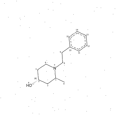 CC1C[C@H](O)CCN1CCc1ccccc1